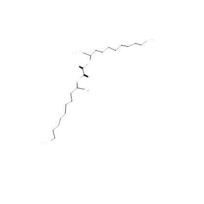 CCCCCCCCCC(N)OC(=O)C(=O)OC(N)CCCCCCCCC